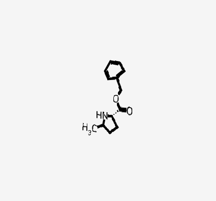 CC1CC[C@@H](C(=O)OCc2ccccc2)N1